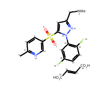 CNCc1cc(S(=O)(=O)c2ccc(C)nc2)n(-c2cc(F)ccc2F)n1.O=C(O)C=CC(=O)O